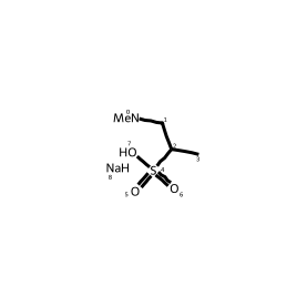 CNCC(C)S(=O)(=O)O.[NaH]